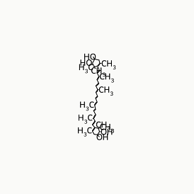 CC1=C(/C=C/C(C)=C/C=C/C(C)=C/C=C/C=C(C)/C=C/C=C(C)/C=C/C2=C(C)CC(O)C(O)C2(C)C)C(C)(C)C(O)C(O)C1